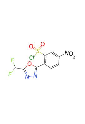 O=[N+]([O-])c1ccc(-c2nnc(C(F)F)o2)c(S(=O)(=O)Cl)c1